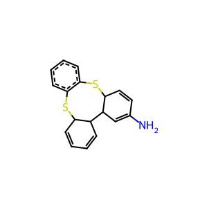 NC1=CC2C(C=C1)Sc1ccccc1SC1C=CC=CC12